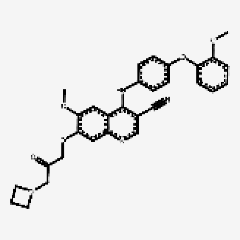 COc1cc2c(Nc3ccc(Oc4ccccc4OC)cc3)c(C#N)cnc2cc1OCC(=O)CN1CCC1